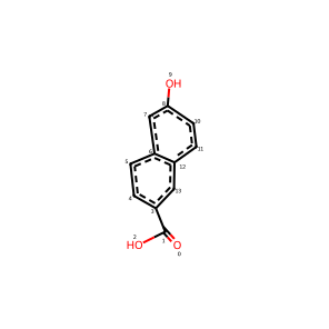 O=C(O)c1ccc2[c]c(O)ccc2c1